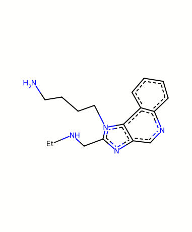 CCNCc1nc2cnc3ccccc3c2n1CCCCN